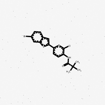 CC(C)(C)C(=O)Nc1ccc(-c2cc3ccc(Br)cc3s2)nc1Cl